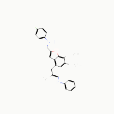 COc1cc(CC(C#N)=CNc2ccccc2)c2cc(CNc3ccc(F)cc3)oc2c1OC